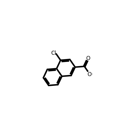 [O]C(=O)c1cc(Cl)c2ccccc2c1